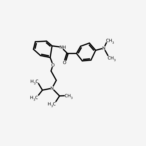 CC(C)N(CCOc1ccccc1NC(=O)c1ccc(N(C)C)cc1)C(C)C